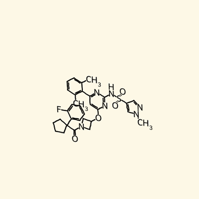 Cc1cccc(C)c1-c1cc(OC2CN(C(=O)C3(c4ccccc4F)CCCC3)C2)nc(NS(=O)(=O)c2cnn(C)c2)n1